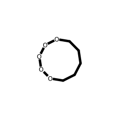 C1CCOOOOOCC1